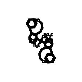 [CH]C(C)(C12CCC(O1)C1=C2CCCOc2ccc1cc2)C12OC(CC1C(=O)O)C1=C2CCCOc2ccc1cc2